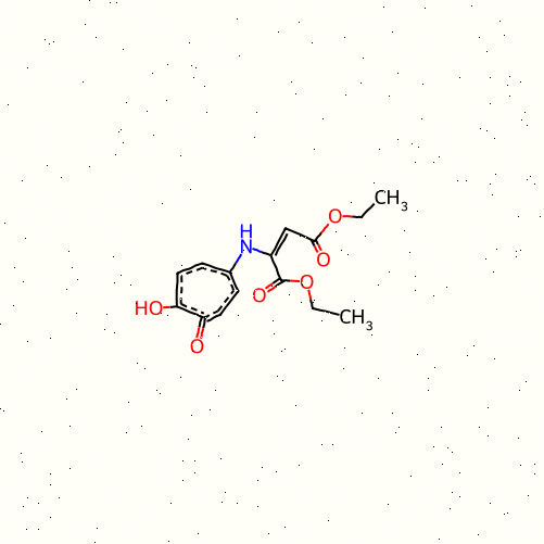 CCOC(=O)C=C(Nc1ccc(O)c(=O)cc1)C(=O)OCC